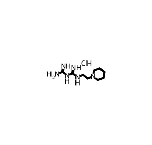 Cl.N=C(N)NC(=N)NCCN1CCCCC1